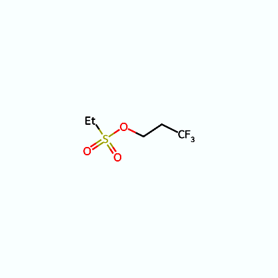 CCS(=O)(=O)OCCC(F)(F)F